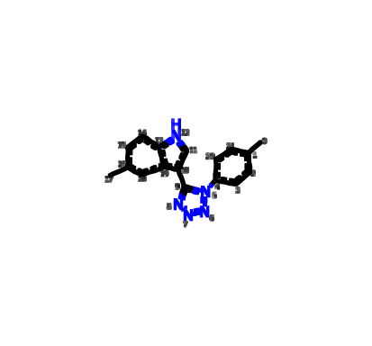 Cc1ccc(-n2nnnc2-c2c[nH]c3ccc(C)cc23)cc1